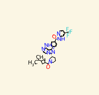 CC(C)C1CC(C(=O)N2CCC[C@@H](c3nc(-c4ccc(C(=O)Nc5cc(C(F)(F)F)ccn5)cc4)c4c(N)nccn34)C2)C1